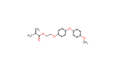 C=C(C)C(=O)OCCOc1ccc(Oc2ccc(OC)cc2)cc1